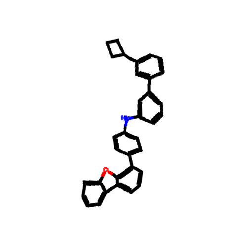 c1cc(Nc2ccc(-c3cccc4c3oc3ccccc34)cc2)cc(-c2cccc(C3CCC3)c2)c1